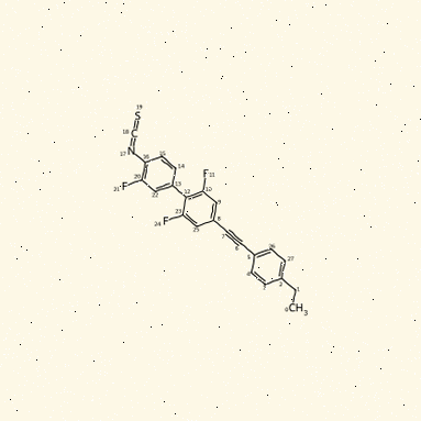 CCc1ccc(C#Cc2cc(F)c(-c3ccc(N=C=S)c(F)c3)c(F)c2)cc1